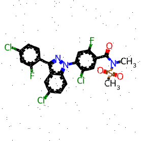 CN(C(=O)c1cc(Cl)c(-n2nc(-c3ccc(Cl)cc3F)c3cc(Cl)ccc32)cc1F)S(C)(=O)=O